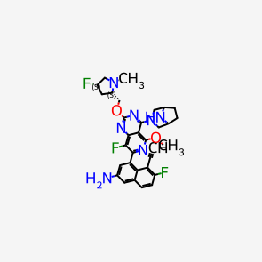 C#Cc1c(F)ccc2cc(N)cc(-c3nc(OC)c4c(N5CC6CCC(C5)N6)nc(OC[C@@H]5C[C@H](F)CN5C)nc4c3F)c12